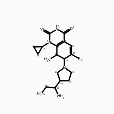 CC1c2c(c(=O)[nH]c(=O)n2C2CC2)C=C(F)C1N1CCC(C(N)CO)C1